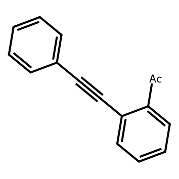 CC(=O)c1ccccc1C#Cc1ccccc1